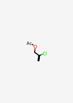 C=C(Cl)COC(C)=O